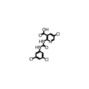 O=C(Nc1cc(Cl)cc(Cl)c1)Nc1ncc(Cl)cc1C(=O)O